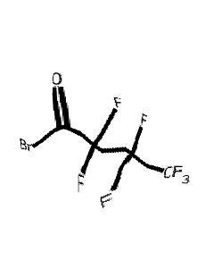 O=C(Br)C(F)(F)C(F)(F)C(F)(F)F